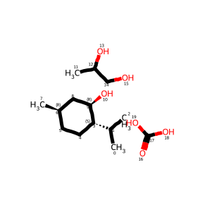 CC(C)[C@@H]1CC[C@@H](C)C[C@H]1O.CC(O)CO.O=C(O)O